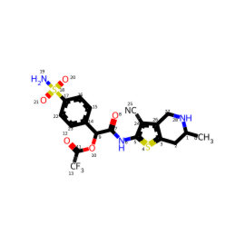 CC1Cc2sc(NC(=O)C(OC(=O)C(F)(F)F)c3ccc(S(N)(=O)=O)cc3)c(C#N)c2CN1